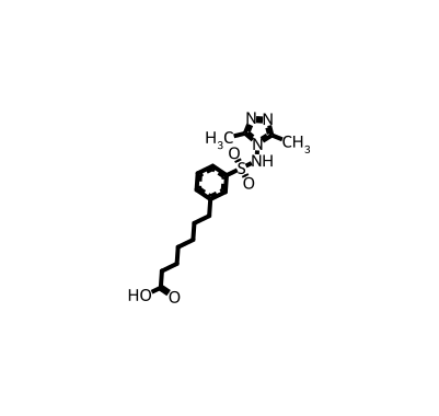 Cc1nnc(C)n1NS(=O)(=O)c1cccc(CCCCCCC(=O)O)c1